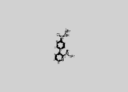 CCCN[S+]([O-])c1ccc(-c2cccnc2N(C)CCC)cc1